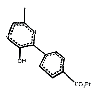 CCOC(=O)c1ccc(-c2nc(C)cnc2O)cc1